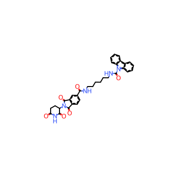 O=C1CCC(N2C(=O)c3ccc(C(=O)NCCCCCCNC(=O)n4c5ccccc5c5ccccc54)cc3C2=O)C(=O)N1